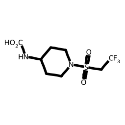 O=C(O)NC1CCN(S(=O)(=O)CC(F)(F)F)CC1